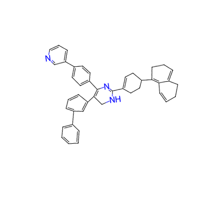 C1=CC2=C(C3CC=C(C4=NC(c5ccc(-c6cccnc6)cc5)=C(c5cccc(-c6ccccc6)c5)CN4)CC3)CCC=C2CC1